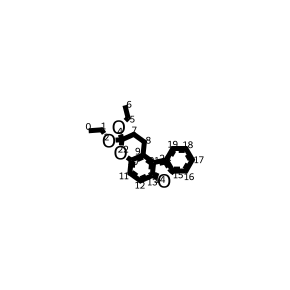 CCOC1(OCC)CCc2c(ccc3oc4ccccc4c23)O1